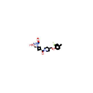 Cc1ccc(OCC2CCN(C(=O)[C@H]3C[C@@](CO)(NC=O)C3)CC2)c(F)c1